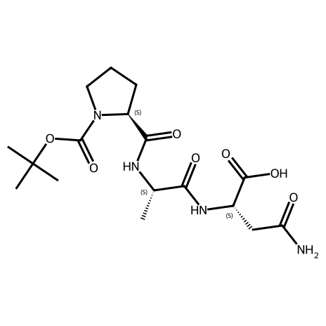 C[C@H](NC(=O)[C@@H]1CCCN1C(=O)OC(C)(C)C)C(=O)N[C@@H](CC(N)=O)C(=O)O